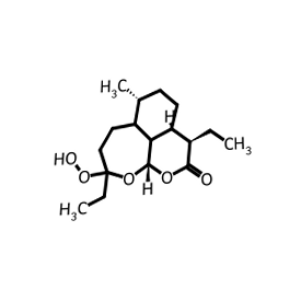 CC[C@H]1C(=O)O[C@@H]2OC(CC)(OO)CCC3C2[C@H]1CC[C@H]3C